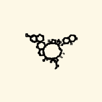 COCC[C@@H]1[C@@H](C)[C@@H](C)/C=C/[C@](CN2CCN3CCOC[C@@H]3C2)(OC)[C@@H]2CC[C@H]2CN2C[C@@]3(CCCc4cc(Cl)ccc43)COc3ccc(cc32)C(=O)NS1(=O)=O